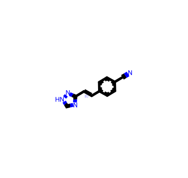 N#Cc1ccc(/C=C/c2nc[nH]n2)cc1